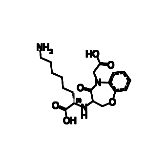 NCCCCCC[C@H](NC1COc2ccccc2N(CC(=O)O)C1=O)C(=O)O